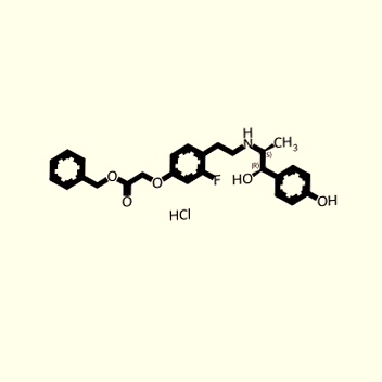 C[C@H](NCCc1ccc(OCC(=O)OCc2ccccc2)cc1F)[C@H](O)c1ccc(O)cc1.Cl